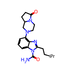 CC(C)CCc1nc2c(N3CCN4C(=O)CCC4C3)cccc2n1C(N)=O